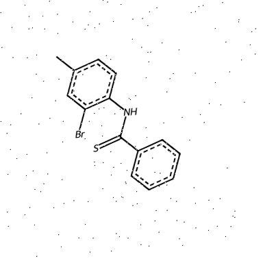 Cc1ccc(NC(=S)c2ccccc2)c(Br)c1